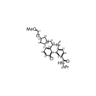 CCCNC(=O)c1ccc(N(C)C(CN2CCC(OCOC)C2)c2cccc(Cl)c2)cc1